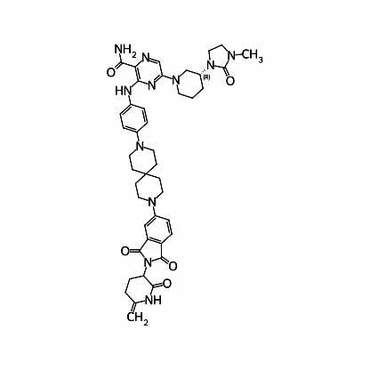 C=C1CCC(N2C(=O)c3ccc(N4CCC5(CCN(c6ccc(Nc7nc(N8CCC[C@@H](N9CCN(C)C9=O)C8)cnc7C(N)=O)cc6)CC5)CC4)cc3C2=O)C(=O)N1